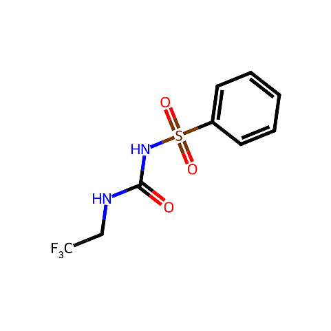 O=C(NCC(F)(F)F)NS(=O)(=O)c1ccccc1